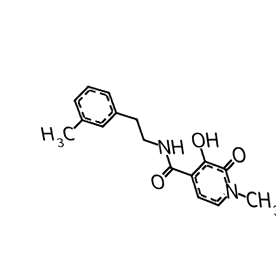 Cc1cccc(CCNC(=O)c2ccn(C)c(=O)c2O)c1